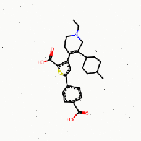 CCN1CCC(c2cc(-c3ccc(C(=O)O)cc3)sc2C(=O)O)=C(C2CCC(C)CC2)C1